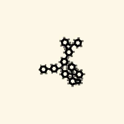 c1ccc(-c2ccc(N(c3ccc(-c4ccc5c(c4)c4ccccc4n5-c4ccccc4)cc3)c3ccc4c(c3)C3(c5ccccc5-c5ccccc53)c3c-4ccc4ccccc34)cc2)cc1